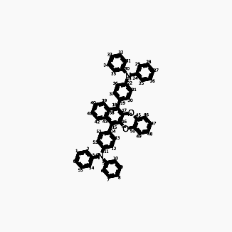 c1ccc(N(c2ccccc2)c2ccc(-c3c4c(c(-c5ccc(N(c6ccccc6)c6ccccc6)cc5)c5ccccc35)Oc3ccccc3O4)cc2)cc1